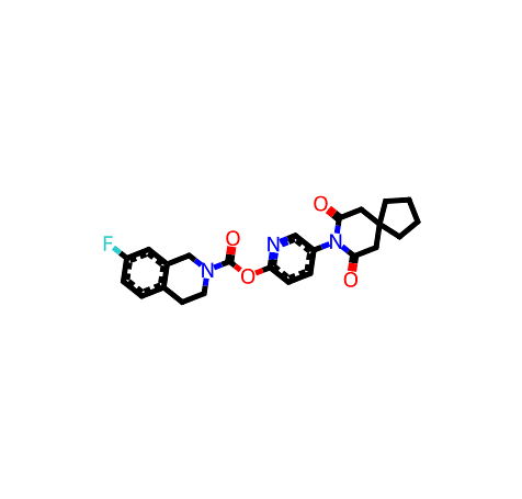 O=C(Oc1ccc(N2C(=O)CC3(CCCC3)CC2=O)cn1)N1CCc2ccc(F)cc2C1